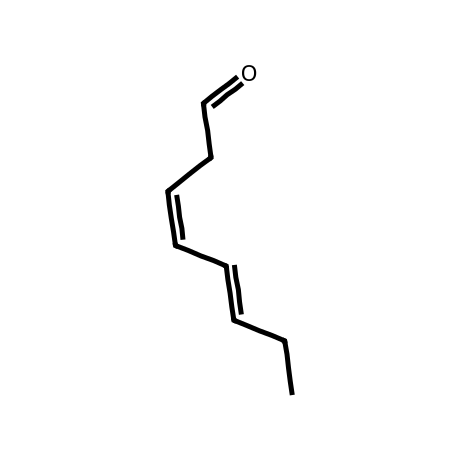 CC/C=C/C=C\CC=O